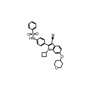 N#Cc1c(-c2ccc(NS(=O)(=O)c3ccccc3)cc2)n(C2CCC2)c2cc(OC3CCOCC3)ccc12